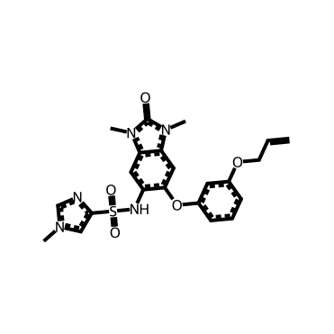 C=CCOc1cccc(Oc2cc3c(cc2NS(=O)(=O)c2cn(C)cn2)n(C)c(=O)n3C)c1